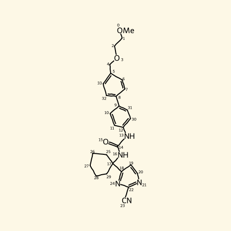 COCCOCc1ccc(-c2ccc(NC(=O)NC3(c4ccnc(C#N)n4)CCCCC3)cc2)cc1